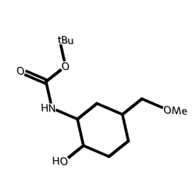 COCC1CCC(O)C(NC(=O)OC(C)(C)C)C1